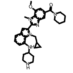 COc1cc(C(=O)N2CCCCC2)cc2nc(-c3cc4cccc(NC5CCNCC5)c4n3CC3CC3)n(C)c12